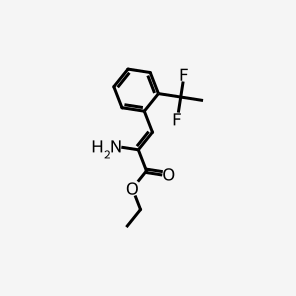 CCOC(=O)/C(N)=C/c1ccccc1C(C)(F)F